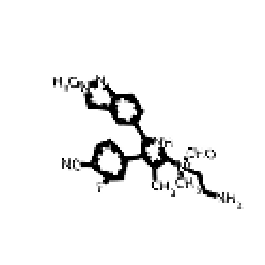 Cc1c([N+](C)(C=O)CCN)[nH]c(-c2ccc3nn(C)cc3c2)c1-c1ccc(C#N)c(F)c1